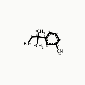 CC(C)(C)CC(C)(C)c1[c]ccc(C#N)c1